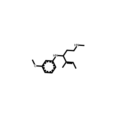 C/C=C(\C)C(CCNC)Nc1cccc(OC)c1